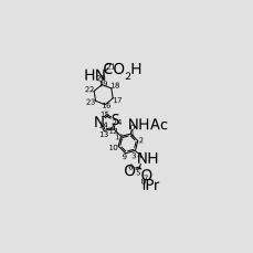 CC(=O)Nc1cc(NC(=O)OC(C)C)ccc1-c1cnc([C@H]2CC[C@H](NC(=O)O)CC2)s1